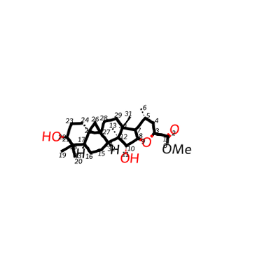 COC(=O)C1C[C@@H](C)C2C(O1)[C@H](O)[C@@]1(C)[C@@H]3CC[C@H]4C(C)(C)[C@@H](O)CC[C@@]45CC35CC[C@]21C